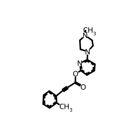 Cc1ccccc1C#CC(=O)Oc1cccc(N2CCN(C)CC2)n1